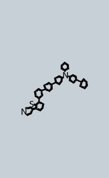 c1ccc(-c2ccc(N(c3ccccc3)c3ccc(-c4ccc(-c5cccc(-c6cccc7c6sc6cnccc67)c5)cc4)cc3)cc2)cc1